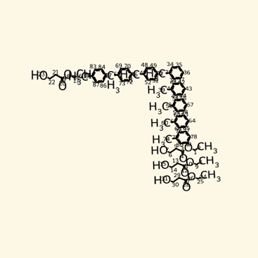 CCOC(=O)CCO.CCOC(=O)CCO.CCOC(=O)CCO.CCOC(=O)CCO.Cc1ccccc1.Cc1ccccc1.Cc1ccccc1.Cc1ccccc1.Cc1ccccc1.Cc1ccccc1.Cc1ccccc1.Cc1ccccc1